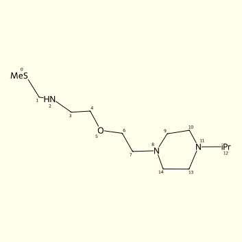 CSCNCCOCCN1CCN(C(C)C)CC1